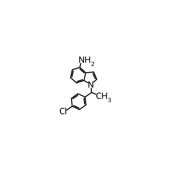 CC(c1ccc(Cl)cc1)n1ccc2c(N)cccc21